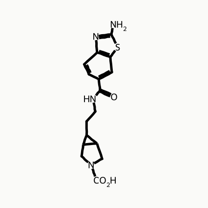 Nc1nc2ccc(C(=O)NCCC3C4CN(C(=O)O)CC34)cc2s1